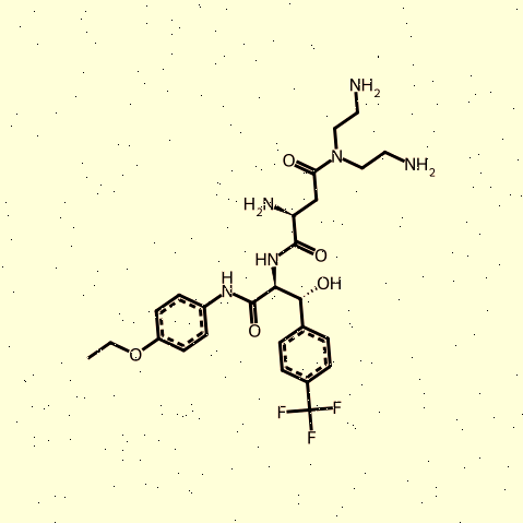 CCOc1ccc(NC(=O)[C@@H](NC(=O)[C@@H](N)CC(=O)N(CCN)CCN)[C@H](O)c2ccc(C(F)(F)F)cc2)cc1